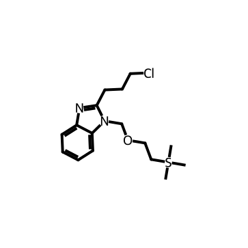 CS(C)(C)CCOCn1c(CCCCl)nc2ccccc21